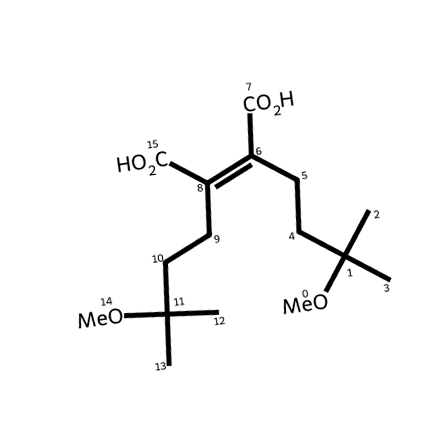 COC(C)(C)CC/C(C(=O)O)=C(\CCC(C)(C)OC)C(=O)O